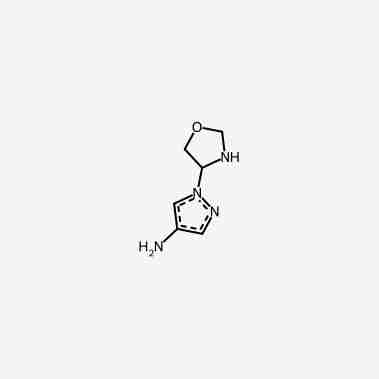 Nc1cnn(C2COCN2)c1